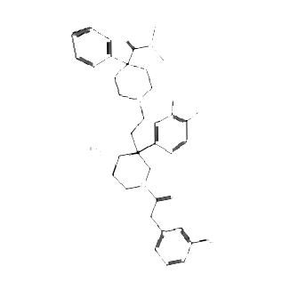 CN(C)C(=O)C1(c2ccccc2)CCN(CCC2(c3ccc(Cl)c(Cl)c3)CCCN(C(=O)Cc3cccc(Cl)c3)C2)CC1.Cl.O